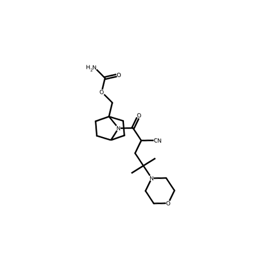 CC(C)(CC(C#N)C(=O)N1C2CCC1(COC(N)=O)CC2)N1CCOCC1